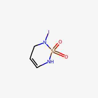 O=S1(=O)NC=CCN1I